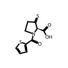 O=C(O)[C@@H]1C(=S)CCN1C(=O)c1cccs1